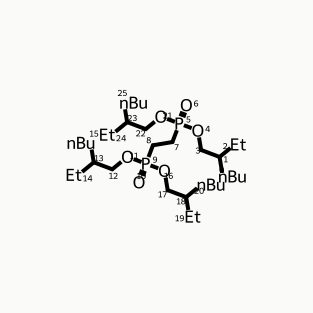 CCCCC(CC)COP(=O)(CCP(=O)(OCC(CC)CCCC)OCC(CC)CCCC)OCC(CC)CCCC